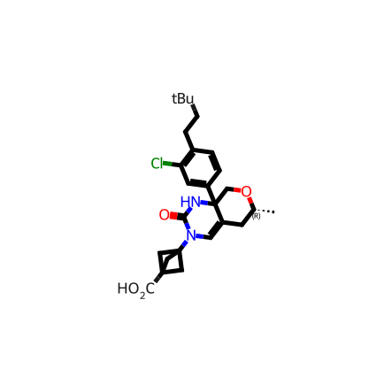 C[C@@H]1CC2=CN(C34CC(C(=O)O)(C3)C4)C(=O)NC2(c2ccc(CCC(C)(C)C)c(Cl)c2)CO1